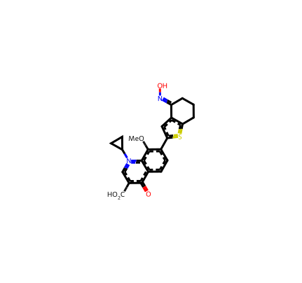 COc1c(-c2cc3c(s2)CCCC3=NO)ccc2c(=O)c(C(=O)O)cn(C3CC3)c12